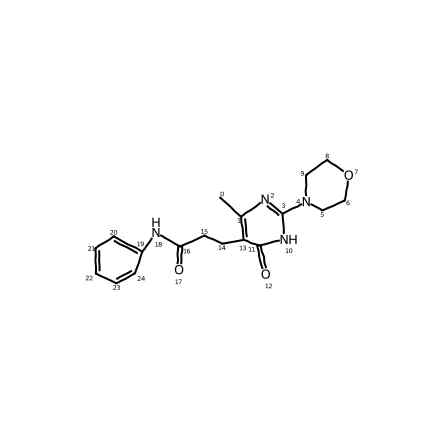 Cc1nc(N2CCOCC2)[nH]c(=O)c1CCC(=O)Nc1ccccc1